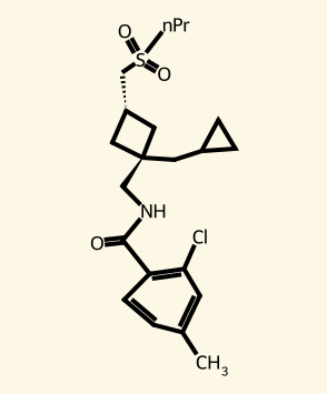 CCCS(=O)(=O)C[C@H]1C[C@@](CNC(=O)c2ccc(C)cc2Cl)(CC2CC2)C1